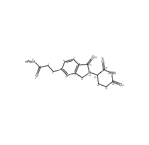 CCCCCC(=O)CCc1ccc2c(c1)CN(C1CCC(=O)NC1=O)C2=O